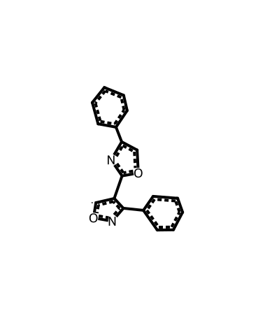 [c]1onc(-c2ccccc2)c1-c1nc(-c2ccccc2)co1